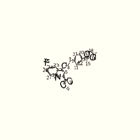 COC(=O)c1cc(OCCc2ccc(C3(C)OCCO3)cc2)c2cc(F)ccc2n1